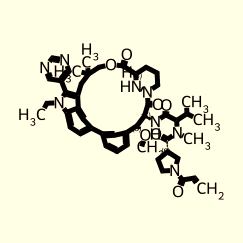 C=CC(=O)N1CC[C@H](C(=O)N(C)C(C(=O)N[C@@H]2C(=O)N3CCC[C@H](N3)C(=O)OCC(C)(C)Cc3c(-c4cncnc4)n(CC)c4ccc(cc34)-c3cccc(c3)[C@@H]2OC)C(C)C)C1